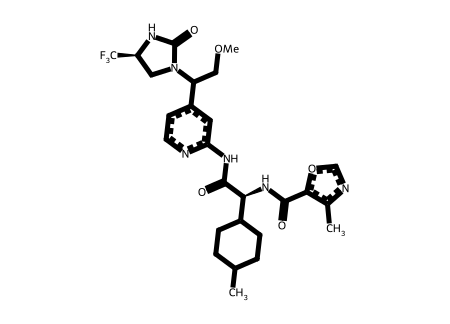 COCC(c1ccnc(NC(=O)[C@@H](NC(=O)c2ocnc2C)C2CCC(C)CC2)c1)N1C[C@@H](C(F)(F)F)NC1=O